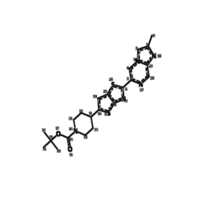 Cc1cn2cc(-c3nc4sc(C5CCN(C(=O)OC(C)(C)C)CC5)cc4s3)ncc2n1